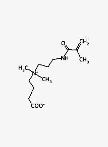 C=C(C)C(=O)NCCC[N+](C)(C)CCCC(=O)[O-]